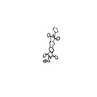 CC(C)(C)N1C(=O)c2cc3c(cc2C1=O)C1C=C2C(=O)N(C4CCCC4)C(=O)C2=CC31